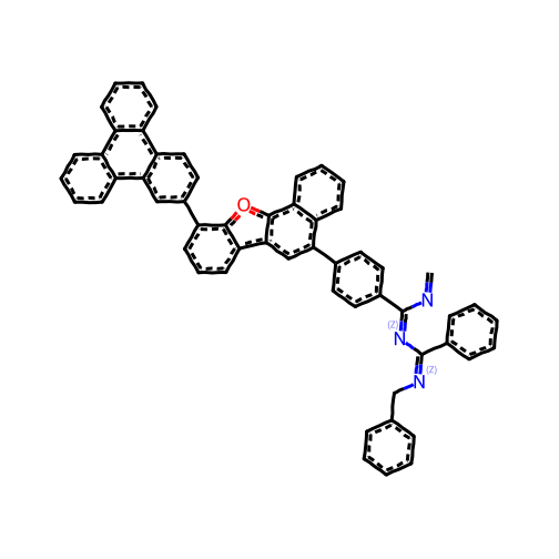 C=N/C(=N\C(=N/Cc1ccccc1)c1ccccc1)c1ccc(-c2cc3c4cccc(-c5ccc6c7ccccc7c7ccccc7c6c5)c4oc3c3ccccc23)cc1